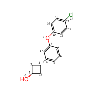 O[C@H]1C[C@H](c2cccc(Oc3ccc(Cl)cc3)c2)C1